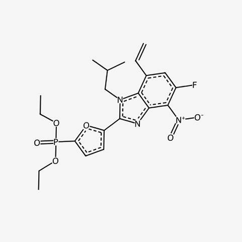 C=Cc1cc(F)c([N+](=O)[O-])c2nc(-c3ccc(P(=O)(OCC)OCC)o3)n(CC(C)C)c12